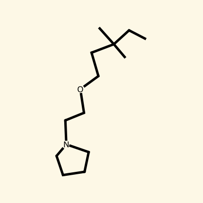 CCC(C)(C)CCOCCN1CCCC1